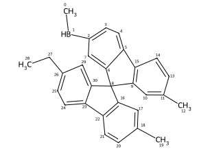 CBc1ccc2c(c1)C1(c3cc(C)ccc3-2)c2cc(C)ccc2-c2ccc(CC)cc21